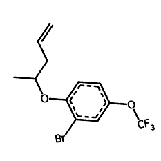 C=CCC(C)Oc1ccc(OC(F)(F)F)cc1Br